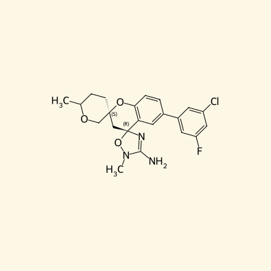 CC1CC[C@@]2(CO1)C[C@]1(N=C(N)N(C)O1)c1cc(-c3cc(F)cc(Cl)c3)ccc1O2